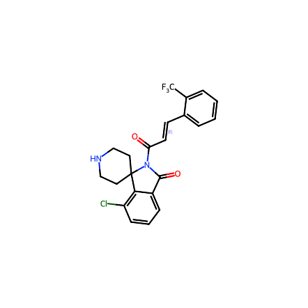 O=C(/C=C/c1ccccc1C(F)(F)F)N1C(=O)c2cccc(Cl)c2C12CCNCC2